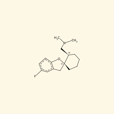 CN(C)C[C@H]1CCCC[C@]12Cc1cc(F)ccc1O2